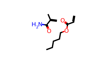 C=C(C)C(N)=O.C=CC(=O)OCCCCC